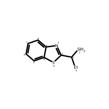 CCC([SiH3])c1nc2ccccc2s1